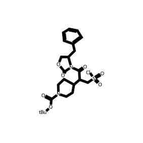 CC(C)(C)OC(=O)N1CCC(C(CS(=O)(=O)Cl)C(=O)N2C(=O)OCC2Cc2ccccc2)CC1